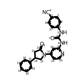 N#Cc1ccc(NC(=O)Nc2cc(N3CC(c4ccccc4)CC3=O)ccn2)cc1